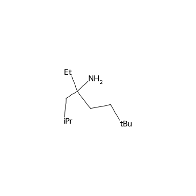 CCC(N)(CCC(C)(C)C)CC(C)C